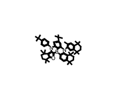 Cc1cc2c(cc1N1c3cc(C(C)(C)C)cc4c3B(c3ccc5c(c31)C(C)(C)CCC5(C)C)c1oc3c(c1N4c1ccc(C(C)(C)C)cc1)C(C)(C)CCC3(C)C)C(C)(C)CCC2(C)C